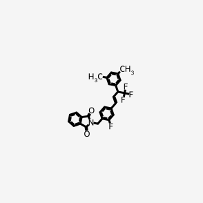 Cc1cc(C)cc(C(/C=C/c2ccc(CN3C(=O)c4ccccc4C3=O)c(F)c2)C(F)(F)F)c1